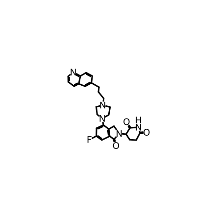 O=C1CCC(N2Cc3c(cc(F)cc3N3CCN(CCCc4ccc5ncccc5c4)CC3)C2=O)C(=O)N1